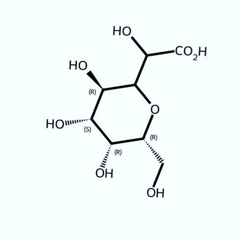 O=C(O)C(O)C1O[C@H](CO)[C@H](O)[C@H](O)[C@H]1O